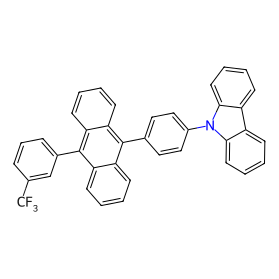 FC(F)(F)c1cccc(-c2c3ccccc3c(-c3ccc(-n4c5ccccc5c5ccccc54)cc3)c3ccccc23)c1